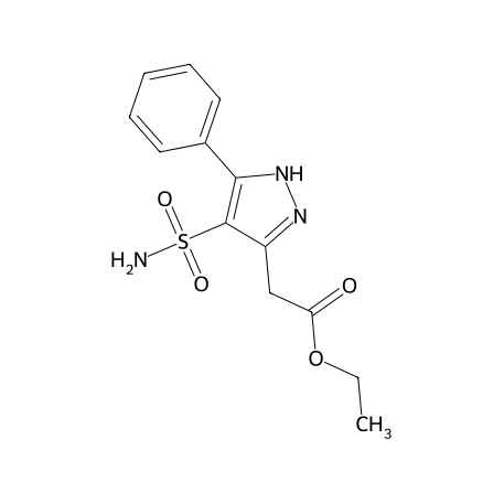 CCOC(=O)Cc1n[nH]c(-c2ccccc2)c1S(N)(=O)=O